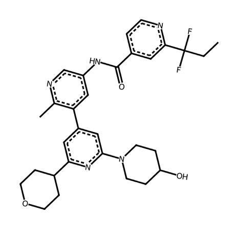 CCC(F)(F)c1cc(C(=O)Nc2cnc(C)c(-c3cc(C4CCOCC4)nc(N4CCC(O)CC4)c3)c2)ccn1